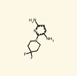 Nc1ccc(N)c(N2CCC(F)(F)CC2)n1